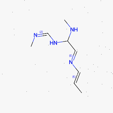 C/C=C/N=C/C(NC)N/C=N\C